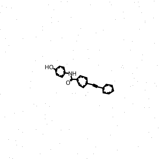 O=C(Nc1ccc(O)cc1)c1ccc(C#Cc2ccccc2)cc1